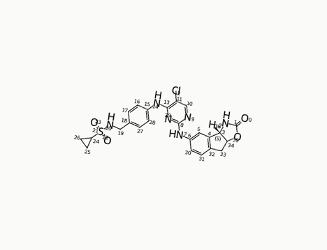 O=C1N[C@H]2c3cc(Nc4ncc(Cl)c(Nc5ccc(CNS(=O)(=O)C6CC6)cc5)n4)ccc3CC2O1